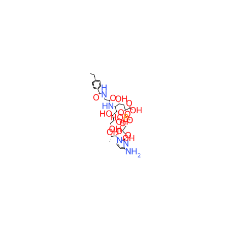 CCc1ccc(C(=O)NCC(=O)N[C@H]2C([C@H](O)[C@H](O)CO)O[C@](OP(=O)(O)OCC(CO)O[C@H]([C@H](C)O)n3ccc(N)nc3=O)(C(=O)O)C[C@H]2O)cc1